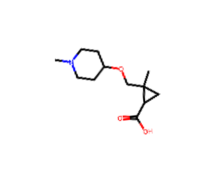 CN1CCC(OCC2(C)CC2C(=O)O)CC1